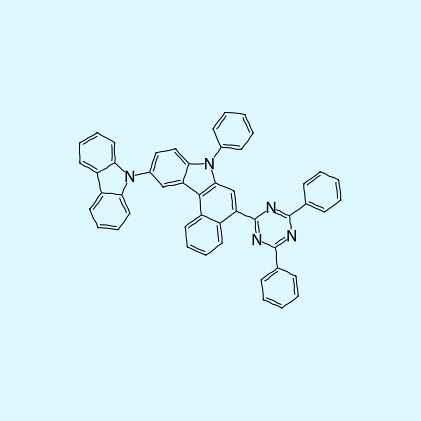 c1ccc(-c2nc(-c3ccccc3)nc(-c3cc4c(c5ccccc35)c3cc(-n5c6ccccc6c6ccccc65)ccc3n4-c3ccccc3)n2)cc1